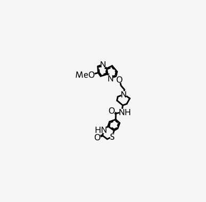 COc1cnc2ccc(OCCN3CCC(NC(=O)c4ccc5c(c4)NC(=O)CS5)CC3)nc2c1